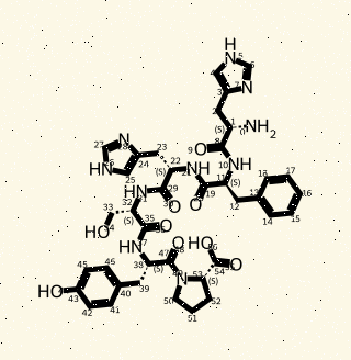 N[C@@H](Cc1c[nH]cn1)C(=O)N[C@@H](Cc1ccccc1)C(=O)N[C@@H](Cc1c[nH]cn1)C(=O)N[C@@H](CO)C(=O)N[C@@H](Cc1ccc(O)cc1)C(=O)N1CCC[C@H]1C(=O)O